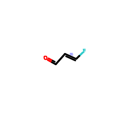 O=C/C=C/F